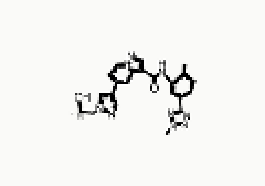 Cc1ccc(-c2nnn(C)n2)cc1NC(=O)c1cnn2ccc(-c3cnn(C[C@H](C)O)c3)cc12